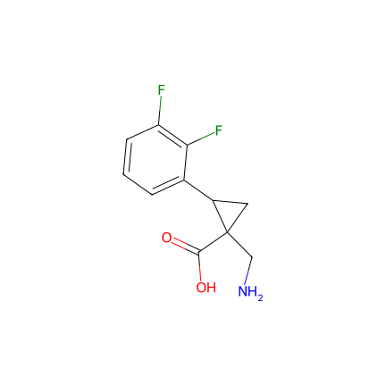 NCC1(C(=O)O)CC1c1cccc(F)c1F